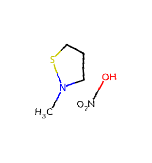 CN1CCCS1.O=[N+]([O-])O